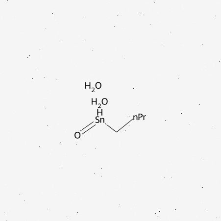 CCC[CH2][SnH]=[O].O.O